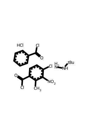 CC(C)(C)NN.Cc1c(C(=O)Cl)ccc(Cl)c1[N+](=O)[O-].Cl.O=C(Cl)c1ccccc1